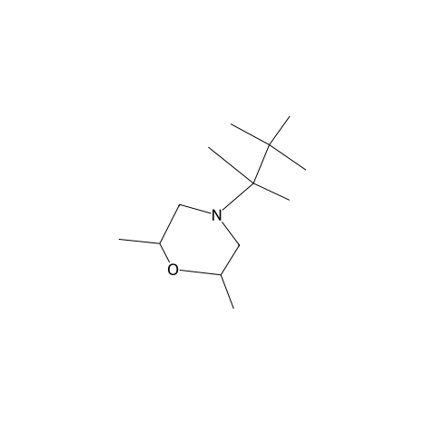 CC1CN(C(C)(C)C(C)(C)C)CC(C)O1